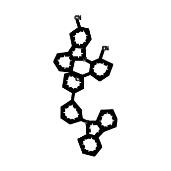 N#Cc1ccc2c(c1)c1cccc(C#N)c1n2-c1c(C#N)cccc1-c1cccc(-c2cccc(-n3c4ccccc4c4ccccc43)c2)c1